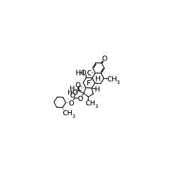 C[C@@H]1CCCC[C@@H]1OC(=O)O[C@]1(C(=O)O)[C@H](C)C[C@H]2[C@@H]3C[C@H](C)C4=CC(=O)C=C[C@]4(C)[C@@]3(F)[C@@H](O)C[C@@]21C